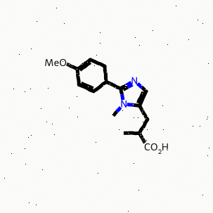 COC1=CCC(c2ncc(CC(C)C(=O)O)n2C)C=C1